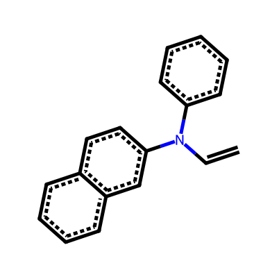 C=CN(c1ccccc1)c1ccc2ccccc2c1